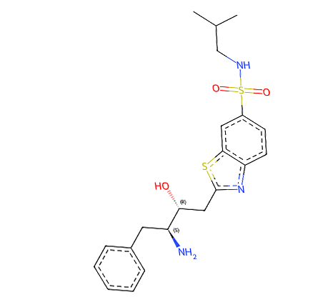 CC(C)CNS(=O)(=O)c1ccc2nc(C[C@@H](O)[C@@H](N)Cc3ccccc3)sc2c1